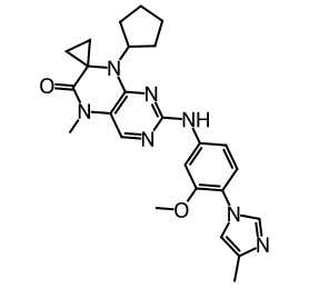 COc1cc(Nc2ncc3c(n2)N(C2CCCC2)C2(CC2)C(=O)N3C)ccc1-n1cnc(C)c1